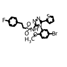 COc1ccc(Br)cc1-n1c(NS(=O)(=O)CCc2ccc(F)cc2)nnc1-c1cccs1